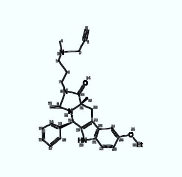 C#CCN(C)CCCN1C(=C)N2[C@H](c3ccccc3)c3[nH]c4ccc(OCC)cc4c3C[C@@]2(C)C1=O